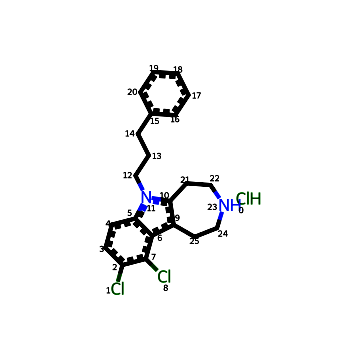 Cl.Clc1ccc2c(c1Cl)c1c(n2CCCc2ccccc2)CCNCC1